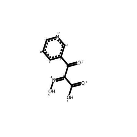 O=C(O)C(=NO)C(=O)c1cccnc1